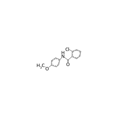 COc1ccc(NC(=O)c2ccccc2Cl)cc1